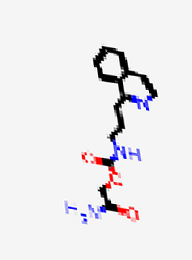 NC(=O)COC(=O)NCCCc1nccc2ccccc12